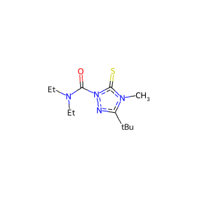 CCN(CC)C(=O)n1nc(C(C)(C)C)n(C)c1=S